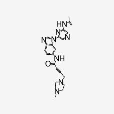 C=C(C)Nc1cncc(-n2cnc3ccc(NC(=O)C#CCN4CCN(C)CC4)cc32)n1